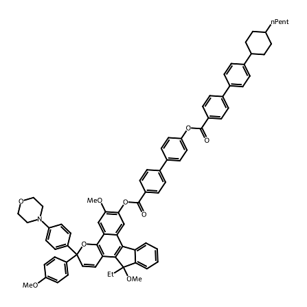 CCCCCC1CCC(c2ccc(-c3ccc(C(=O)Oc4ccc(-c5ccc(C(=O)Oc6cc7c8c(c9c(c7cc6OC)OC(c6ccc(OC)cc6)(c6ccc(N7CCOCC7)cc6)C=C9)C(CC)(OC)c6ccccc6-8)cc5)cc4)cc3)cc2)CC1